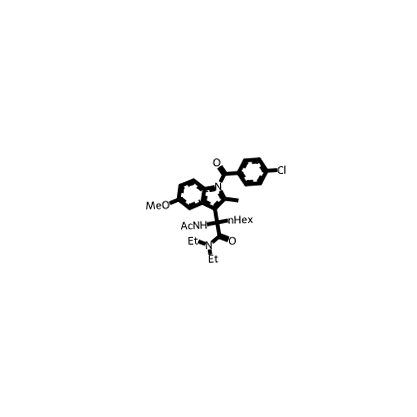 CCCCCCC(NC(C)=O)(C(=O)N(CC)CC)c1c(C)n(C(=O)c2ccc(Cl)cc2)c2ccc(OC)cc12